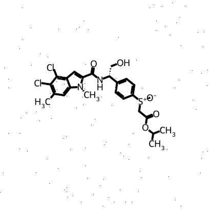 Cc1cc2c(cc(C(=O)N[C@H](CO)c3ccc([S@@+]([O-])CC(=O)OC(C)C)cc3)n2C)c(Cl)c1Cl